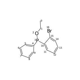 CCOP(c1ccccc1)c1ccccc1Br